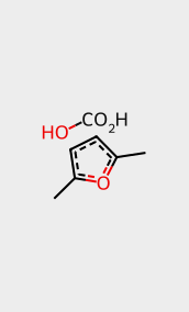 Cc1ccc(C)o1.O=C(O)O